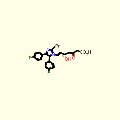 CC(C)c1nc(-c2ccc(F)cc2)c(-c2ccc(F)cc2)n1C=C[C@@H](O)CC(=O)CC(=O)O